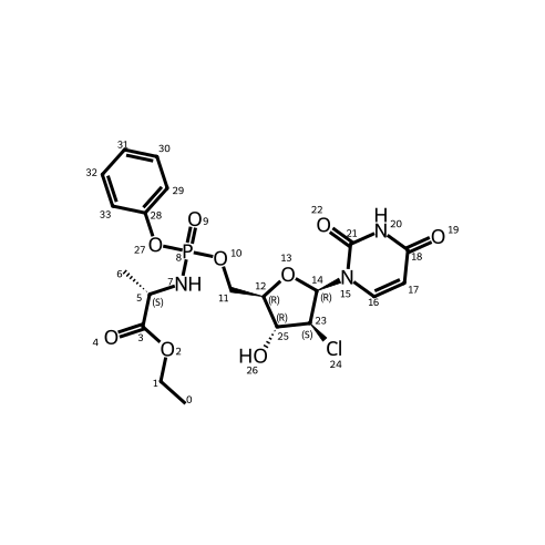 CCOC(=O)[C@H](C)NP(=O)(OC[C@H]1O[C@@H](n2ccc(=O)[nH]c2=O)[C@@H](Cl)[C@@H]1O)Oc1ccccc1